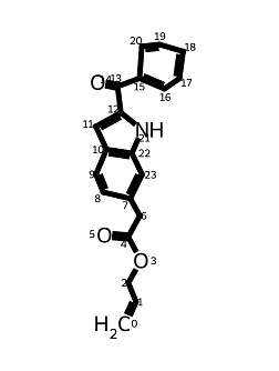 C=CCOC(=O)Cc1ccc2cc(C(=O)c3ccccc3)[nH]c2c1